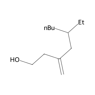 C=C(CCO)CC(CC)CCCC